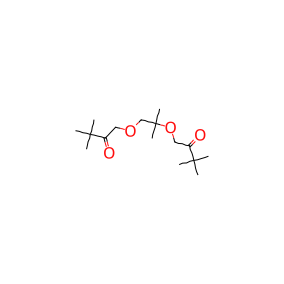 CC(C)(COCC(=O)C(C)(C)C)OCC(=O)C(C)(C)C